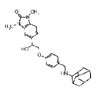 Cn1c(=O)n(C)c2cc(C(O)COc3ccc(CNC4C5CC6CC(C5)CC4C6)cc3)ccc21